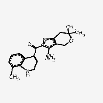 Cc1cccc2c1NCCC2C(=O)n1nc2c(c1N)COC(C)(C)C2